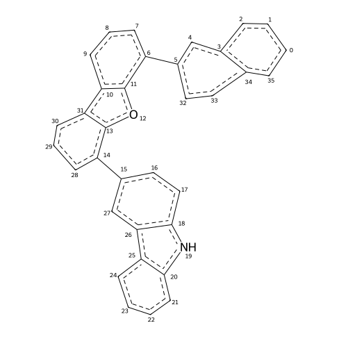 c1ccc2cc(-c3cccc4c3oc3c(-c5ccc6[nH]c7ccccc7c6c5)cccc34)ccc2c1